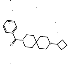 O=C(c1cc[c]cc1)N1CCC2(CC1)CCN(C1CCC1)CC2